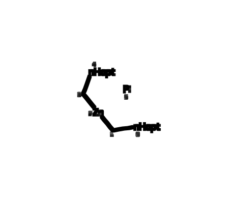 CCCCCCC[CH2][Zn][CH2]CCCCCCC.[P]